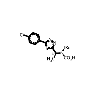 C[C@@H](c1nnc(-c2ccc(Cl)cc2)s1)N(C(=O)O)C(C)(C)C